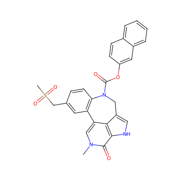 Cn1cc2c3c(c[nH]c3c1=O)CN(C(=O)Oc1ccc3ccccc3c1)c1ccc(CS(C)(=O)=O)cc1-2